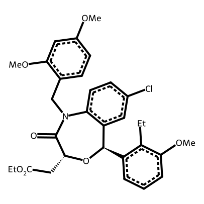 CCOC(=O)C[C@H]1O[C@H](c2cccc(OC)c2CC)c2cc(Cl)ccc2N(Cc2ccc(OC)cc2OC)C1=O